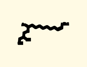 CCCCCCCC/C=C\CCCCCCCC(OCC(O)CO)C(C)=O